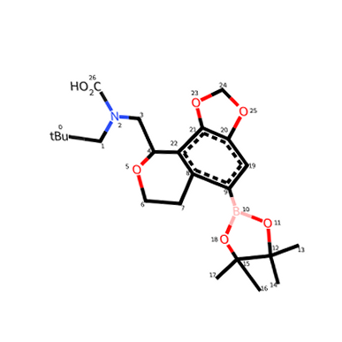 CC(C)(C)CN(CC1OCCc2c(B3OC(C)(C)C(C)(C)O3)cc3c(c21)OCO3)C(=O)O